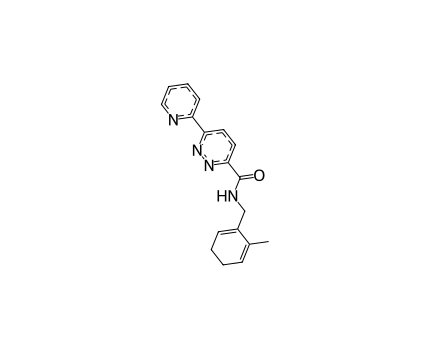 CC1=CCCC=C1CNC(=O)c1ccc(-c2ccccn2)nn1